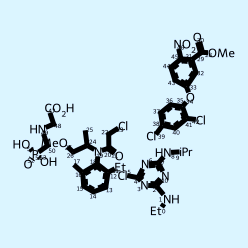 CCNc1nc(Cl)nc(NC(C)C)n1.CCc1cccc(C)c1N(C(=O)CCl)C(C)COC.COC(=O)c1cc(Oc2ccc(Cl)cc2Cl)ccc1[N+](=O)[O-].O=C(O)CNCP(=O)(O)O